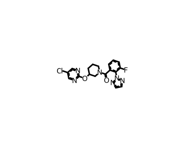 O=C(c1cccc(F)c1-n1nccn1)N1CCCC(Oc2ncc(Cl)cn2)C1